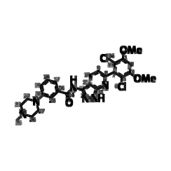 COc1cc(OC)c(Cl)c(-c2ccc3c(NC(=O)c4cccc(N5CCN(C)CC5)c4)n[nH]c3n2)c1Cl